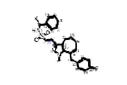 C[C@H](NS(=O)(=O)/C=C/c1nn(C)c2c1CCCCC2Cc1ccc(F)cc1)c1ccccc1